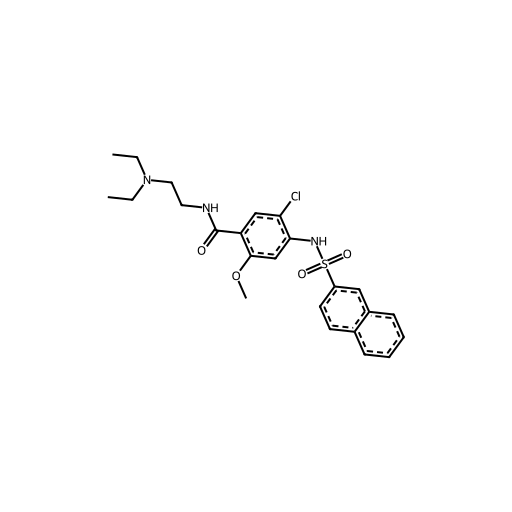 CCN(CC)CCNC(=O)c1cc(Cl)c(NS(=O)(=O)c2ccc3ccccc3c2)cc1OC